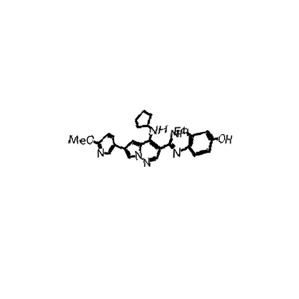 CCc1cc(O)ccc1/N=C(\N)c1cnn2cc(-c3ccc(OC)nc3)cc2c1NC1CCCC1